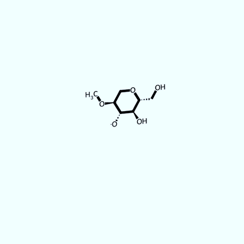 CO[C@H]1CO[C@H](CO)[C@@H](O)[C@@H]1[O]